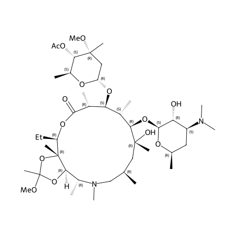 CC[C@H]1OC(=O)[C@H](C)[C@@H](O[C@H]2C[C@@](C)(OC)[C@@H](OC(C)=O)[C@H](C)O2)[C@H](C)[C@@H](O[C@@H]2O[C@H](C)C[C@H](N(C)C)[C@H]2O)[C@](C)(O)C[C@@H](C)CN(C)[C@H](C)[C@H]2OC(C)(OC)O[C@@]21C